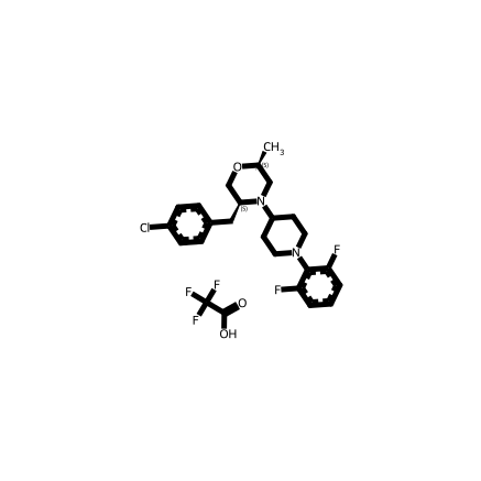 C[C@H]1CN(C2CCN(c3c(F)cccc3F)CC2)[C@@H](Cc2ccc(Cl)cc2)CO1.O=C(O)C(F)(F)F